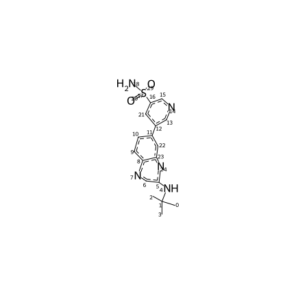 CC(C)(C)Nc1cnc2ccc(-c3cncc(S(N)(=O)=O)c3)cc2n1